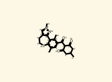 Cc1cc(C(=O)C2C(=O)CC(C)CC2=O)c(C)c2c1SCCc1cn(C)nc1-2